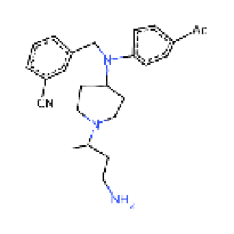 CC(=O)c1ccc(N(Cc2cccc(C#N)c2)C2CCN(C(C)CCN)CC2)cc1